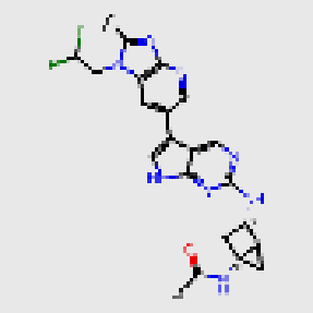 CCC(=O)N[C@@]12CC1[C@@H](Nc1ncc3c(-c4cnc5nc(C)n(CC(F)F)c5c4)c[nH]c3n1)C2